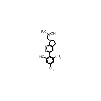 Cc1cc(C(F)(F)F)cc(O)c1-c1cc2c(nn1)N(C[C@H](O)C(F)(F)F)CC2